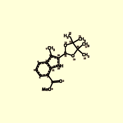 COC(=O)c1cccc2c(C)c(B3OC(C)(C)C(C)(C)O3)[nH]c12